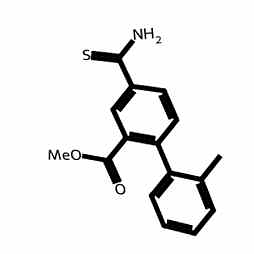 COC(=O)c1cc(C(N)=S)ccc1-c1ccccc1C